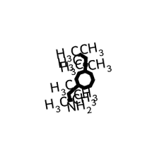 CC(C)(C)CC(C)(C)C1CCCCC(C(C)(C)CC(C)(C)N)CC1